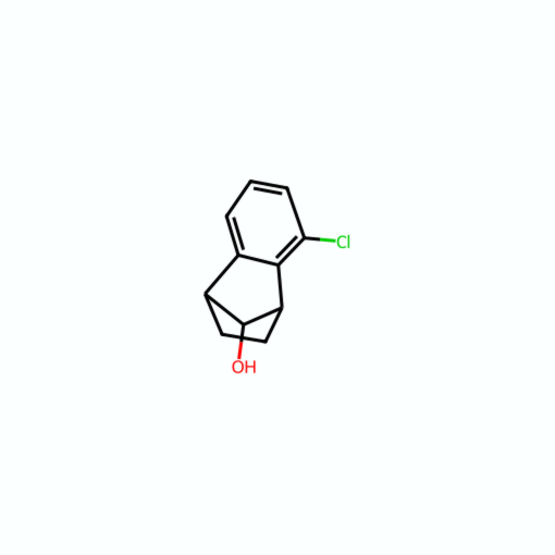 OC1C2CCC1c1c(Cl)cccc12